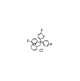 Fc1ccc([P+](CC2C=CCCO2)(c2ccc(F)cc2)c2ccc(F)cc2)cc1.[Cl-]